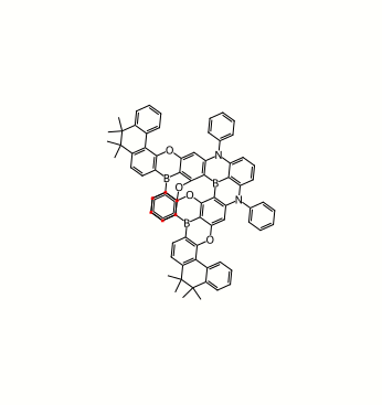 CC1(C)c2ccccc2-c2c(ccc3c2Oc2cc4c(c5c2B3c2ccccc2O5)B2c3c(cccc3N(c3ccccc3)c3cc5c6c(c32)Oc2ccccc2B6c2ccc3c(c2O5)-c2ccccc2C(C)(C)C3(C)C)N4c2ccccc2)C1(C)C